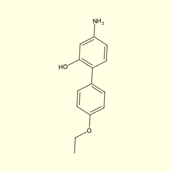 CCOc1ccc(-c2ccc(N)cc2O)cc1